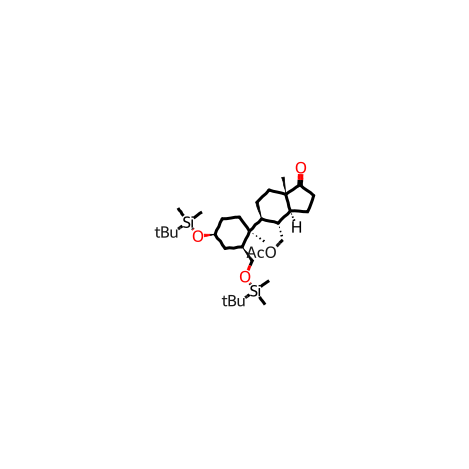 CC(=O)OC[C@@H]1[C@@H]([C@]2(C)CC[C@H](O[Si](C)(C)C(C)(C)C)C[C@@H]2CO[Si](C)(C)C(C)(C)C)CC[C@]2(C)C(=O)CC[C@@H]12